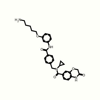 NCCCCCOc1cccc(NC(=O)c2ccc(CN(C(=O)c3ccc4c(c3)OCC(=O)N4)C3CC3)cc2)c1